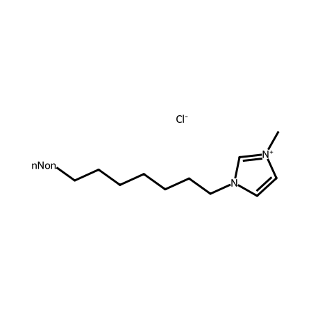 CCCCCCCCCCCCCCCCn1cc[n+](C)c1.[Cl-]